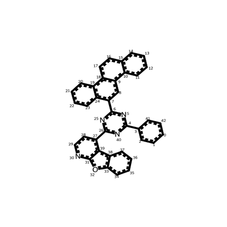 c1ccc(-c2nc(-c3cc4c5ccccc5ccc4c4ccccc34)nc(-c3ccnc4oc5ccccc5c34)n2)cc1